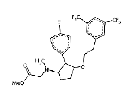 COC(=O)CN(C)C1CCC(OCCc2cc(C(F)(F)F)cc(C(F)(F)F)c2)C1c1ccc(F)cc1